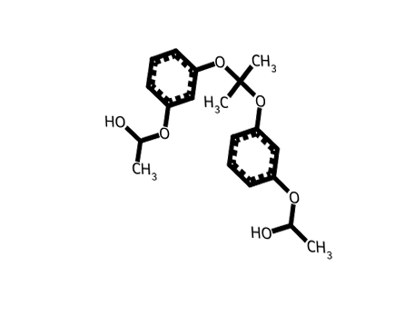 CC(O)Oc1cccc(OC(C)(C)Oc2cccc(OC(C)O)c2)c1